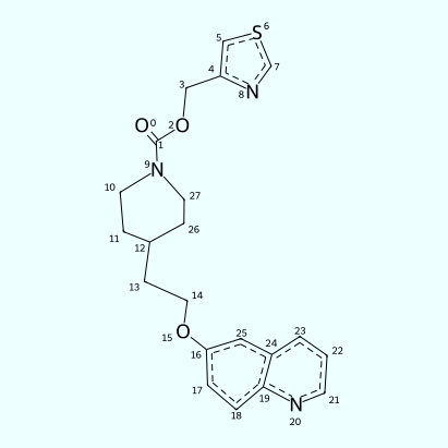 O=C(OCc1cscn1)N1CCC(CCOc2ccc3ncccc3c2)CC1